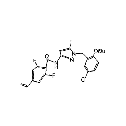 C=Cc1cc(F)c(C(=O)Nc2cc(C)n(Cc3cc(Cl)ccc3OCC(C)C)n2)c(F)c1